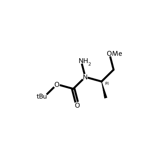 COC[C@@H](C)N(N)C(=O)OC(C)(C)C